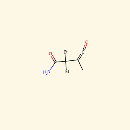 CCC(CC)(C(N)=O)C(C)=C=O